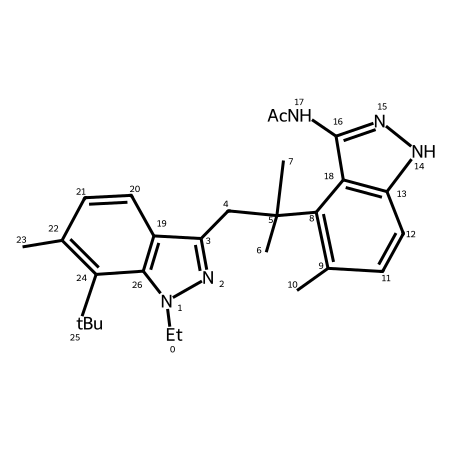 CCn1nc(CC(C)(C)c2c(C)ccc3[nH]nc(NC(C)=O)c23)c2ccc(C)c(C(C)(C)C)c21